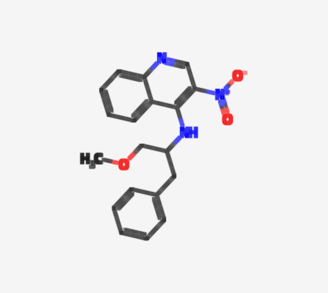 COCC(Cc1ccccc1)Nc1c([N+](=O)[O-])cnc2ccccc12